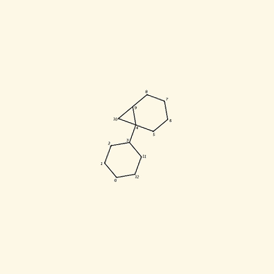 C1CCC(C23CCCCC2C3)CC1